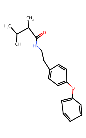 CC(C)C(C)C(=O)NCCc1ccc(Oc2ccccc2)cc1